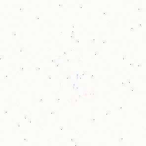 CCOC(=O)n1nc(C(F)(F)c2ccccc2)cc1F